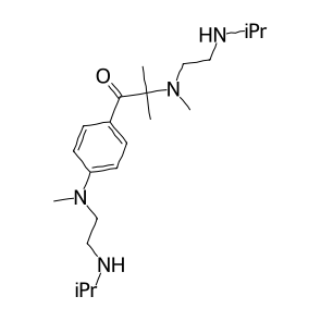 CC(C)NCCN(C)c1ccc(C(=O)C(C)(C)N(C)CCNC(C)C)cc1